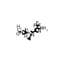 CC(=O)N1C[C@@H]2[C@H](C1)[C@@H]2n1cc(-c2cnc(N)c(C(F)(F)F)c2)nc1C1CC1